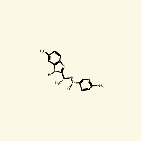 CCn1c([C@@H](C)N[S+]([O-])c2ccc(N)nc2)nc2ccc(C(F)(F)F)cc21